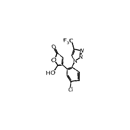 O=C1C=C(c2cc(Cl)ccc2-n2cc(C(F)(F)F)nn2)C(O)O1